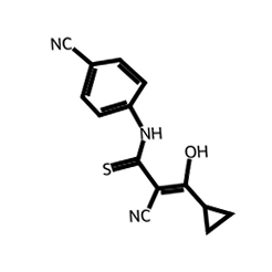 N#CC(C(=S)Nc1ccc(C#N)cc1)=C(O)C1CC1